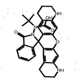 CC(C)(C)N(C(=O)O)N1C(=O)c2ccccc2C12c1cc3c(cc1Oc1cc4c(cc12)CCCN4)NCCC3